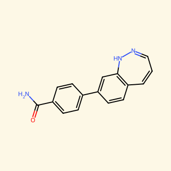 NC(=O)c1ccc(-c2ccc3c(c2)NN=CC=C3)cc1